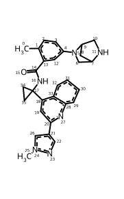 Cc1ccc(N2CC3CC2CN3)cc1C(=O)NC1(c2cc(-c3cnn(C)c3)nc3ccccc23)CC1